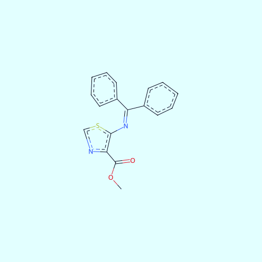 COC(=O)c1ncsc1N=C(c1ccccc1)c1ccccc1